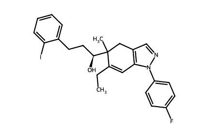 CCC1=Cc2c(cnn2-c2ccc(F)cc2)CC1(C)[C@@H](O)CCc1ccccc1I